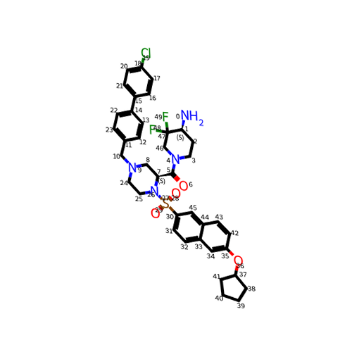 N[C@H]1CCN(C(=O)[C@@H]2CN(Cc3ccc(-c4ccc(Cl)cc4)cc3)CCN2S(=O)(=O)c2ccc3cc(OC4CCCC4)ccc3c2)CC1(F)F